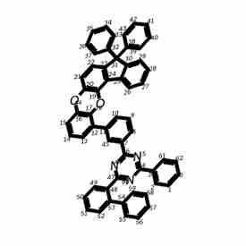 c1ccc(-c2nc(-c3cccc(-c4cccc5c4Oc4c(ccc6c4-c4ccccc4C6(c4ccccc4)c4ccccc4)O5)c3)nc(-c3ccccc3-c3ccccc3)n2)cc1